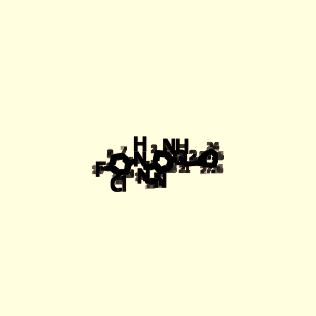 Nc1cc2c(Nc3ccc(F)c(Cl)c3)ncnc2cc1OCC1C2CCCC21